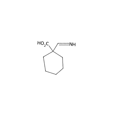 N=CC1(C(=O)O)CCCCC1